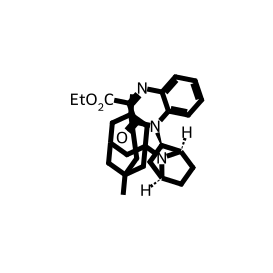 CCOC(=O)c1nc2ccccc2n([C@@H]2C[C@@H]3CC[C@H]2N3C23CC4CC(C)(CC(C)(C4)C2)C3)c1=O